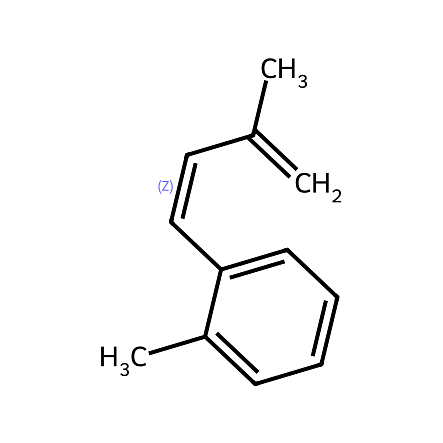 C=C(C)/C=C\c1ccccc1C